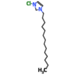 CCCCCCCCCCCCCCN1C=CN(Cl)C1